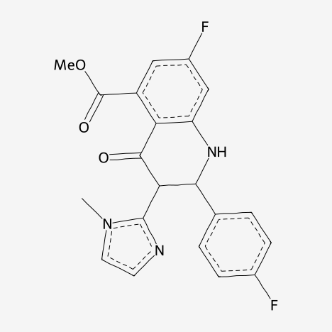 COC(=O)c1cc(F)cc2c1C(=O)C(c1nccn1C)C(c1ccc(F)cc1)N2